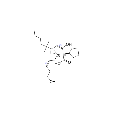 CCCCC(C)(C)C/C=C(/O)[C@@](C(=O)O)(C1CCCC1)[C@H](O)C/C=C\CCO